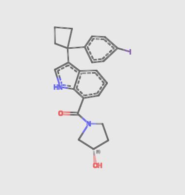 O=C(c1cccc2c(C3(c4ccc(I)cc4)CCC3)c[nH]c12)N1CC[C@H](O)C1